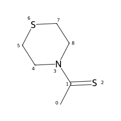 CC(=S)N1CCSCC1